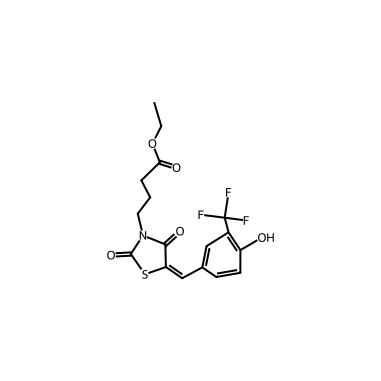 CCOC(=O)CCCN1C(=O)SC(=Cc2ccc(O)c(C(F)(F)F)c2)C1=O